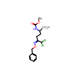 CC(C)(C)OC(=O)NC(CCC(=NOCc1ccccc1)C(Br)Br)C(=O)O